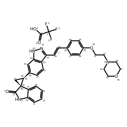 O=C(O)C(F)(F)F.O=C1Nc2ccccc2[C@]12C[C@H]2c1ccc2c(/C=C/c3ccc(OCCN4CCOCC4)cc3)n[nH]c2c1